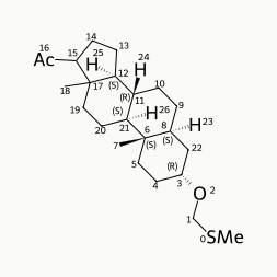 CSCO[C@@H]1CC[C@@]2(C)[C@@H](CC[C@H]3[C@@H]4CCC(C(C)=O)C4(C)CC[C@@H]32)C1